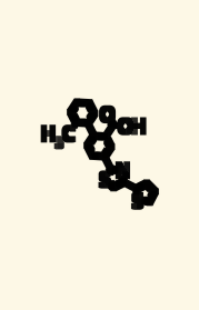 Cc1ccccc1-c1ccc(-c2nc(-c3cccs3)cs2)cc1C(=O)O